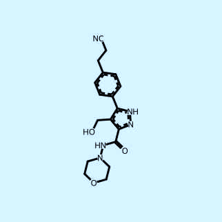 N#CCCc1ccc(-c2[nH]nc(C(=O)NN3CCOCC3)c2CO)cc1